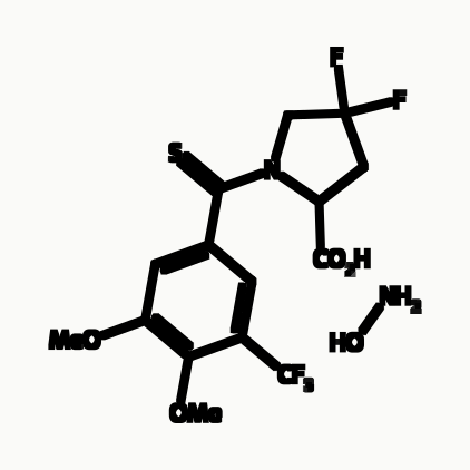 COc1cc(C(=S)N2CC(F)(F)CC2C(=O)O)cc(C(F)(F)F)c1OC.NO